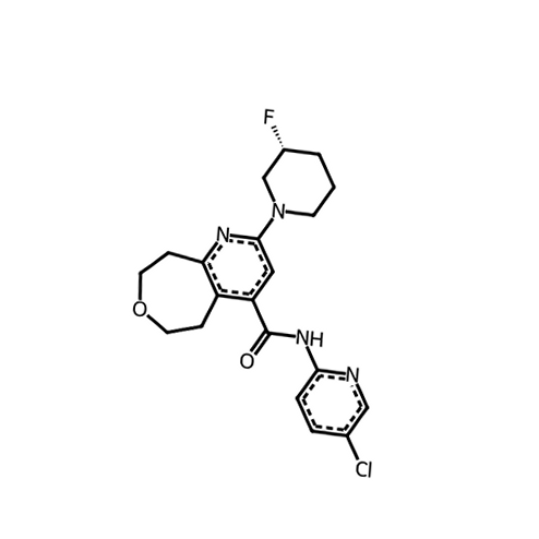 O=C(Nc1ccc(Cl)cn1)c1cc(N2CCC[C@@H](F)C2)nc2c1CCOCC2